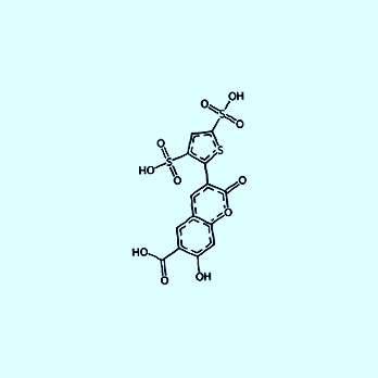 O=C(O)c1cc2cc(-c3sc(S(=O)(=O)O)cc3S(=O)(=O)O)c(=O)oc2cc1O